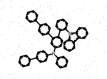 c1ccc(-c2ccc(-c3cc(N(c4ccccc4)c4ccc(-c5ccccc5)cc4)ccc3-c3ccccc3-n3c4ccccc4c4ccccc43)cc2)cc1